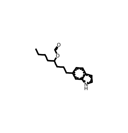 CCCCC(CCCc1ccc2cc[nH]c2c1)OC=O